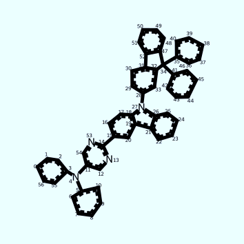 c1ccc(N(c2ccccc2)c2cnc(-c3ccc4c(c3)c3ccccc3n4-c3ccc4c(c3)C(c3ccccc3)(c3ccccc3)c3ccccc3-4)nc2)cc1